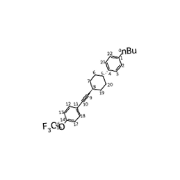 CCCCc1ccc([C@H]2CC[C@H](C#Cc3ccc(OC(F)(F)F)cc3)CC2)cc1